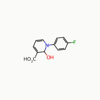 O=C(O)C1=CC=CN(c2ccc(F)cc2)C1O